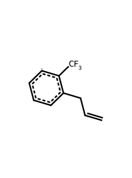 C=CCc1ccc[c]c1C(F)(F)F